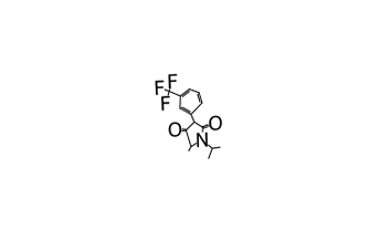 CC(C)N1C(=O)C(c2cccc(C(F)(F)F)c2)C(=O)C1C